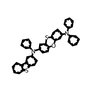 c1ccc(N(c2ccccc2)c2ccc3c(c2)Oc2ccc(N(c4ccccc4)c4ccc5sc6ccccc6c5c4)cc2S3)cc1